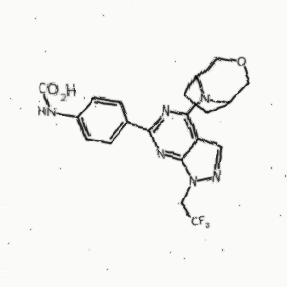 O=C(O)Nc1ccc(-c2nc(N3C4CCC3COC4)c3cnn(CC(F)(F)F)c3n2)cc1